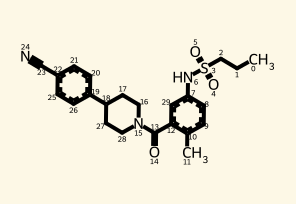 CCCS(=O)(=O)Nc1ccc(C)c(C(=O)N2CCC(c3ccc(C#N)cc3)CC2)c1